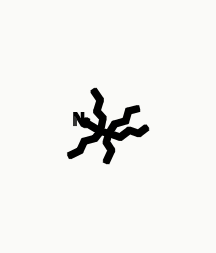 CCCCC(C#N)(CCCC)C(CCC)(CCCC)CCCC